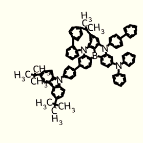 CC(C)(C)c1ccc2c(c1)c1cc(C(C)(C)C)ccc1n2-c1ccc(-c2ccc3c(c2)N2c4ccccc4-c4ccc(cc4)C(C)(C)c4cc5c(c2c4)B3c2ccc(N(c3ccccc3)c3ccccc3)cc2N5c2ccc(-c3ccccc3)cc2)cc1